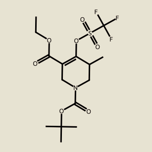 CCOC(=O)C1=C(OS(=O)(=O)C(F)(F)F)C(C)CN(C(=O)OC(C)(C)C)C1